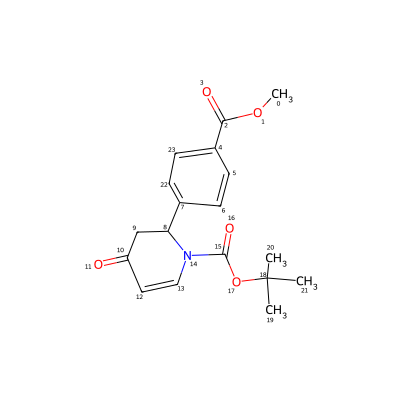 COC(=O)c1ccc(C2CC(=O)C=CN2C(=O)OC(C)(C)C)cc1